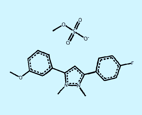 COS(=O)(=O)[O-].COc1cccc(-c2cc(-c3ccc(F)cc3)n(C)[n+]2C)c1